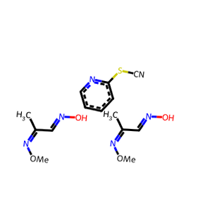 CON=C(C)C=NO.CON=C(C)C=NO.N#CSc1ccccn1